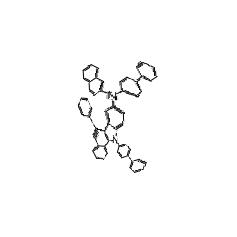 c1ccc(-c2ccc(N(c3ccc4ccccc4c3)c3ccc4c(c3)c3c(-c5ccccc5)cc5ccccc5c3n4-c3ccc(-c4ccccc4)cc3)cc2)cc1